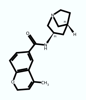 CC1=CCOc2ccc(C(=O)N[C@@H]3C[C@H]4CCN(C4)C3)cc21